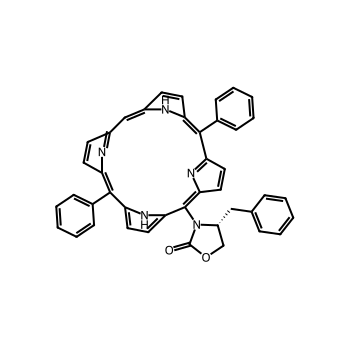 O=C1OC[C@@H](Cc2ccccc2)N1c1c2nc(c(-c3ccccc3)c3ccc(cc4nc(c(-c5ccccc5)c5ccc1[nH]5)C=C4)[nH]3)C=C2